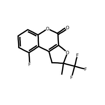 CC1(C(F)(F)F)Cc2c(c(=O)oc3cccc(F)c23)O1